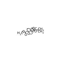 COC(=O)c1cccc2c1OCCN2C(=O)OC(C)(C)C